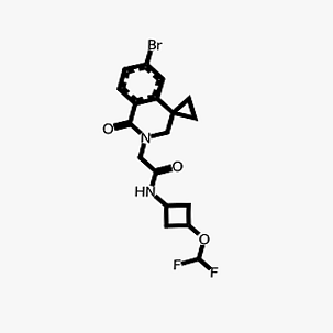 O=C(CN1CC2(CC2)c2cc(Br)ccc2C1=O)NC1CC(OC(F)F)C1